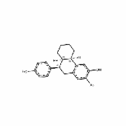 CC(=O)c1cc2c(cc1O)[C@@H]1CCCC[C@@H]1[C@H](c1ccc(O)cc1)C2